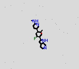 C/C=C(\C(F)=C/C(=C(C)C)c1ccc(NC)nc1)c1cc2ccncc2[nH]1